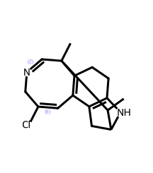 CC1C2CC3=C(CCC4=C3/C=C(/Cl)C/N=C\C41C)N2